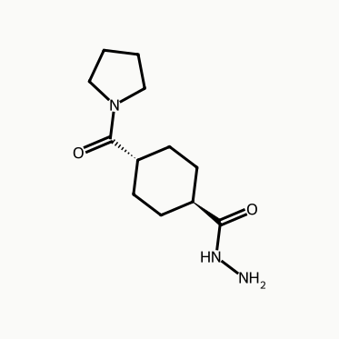 NNC(=O)[C@H]1CC[C@H](C(=O)N2CCCC2)CC1